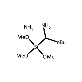 CCCCC(N)[Si](OC)(OC)OC.N